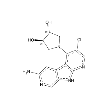 Nc1cc2c(cn1)[nH]c1ncc(Cl)c(N3C[C@@H](O)[C@H](O)C3)c12